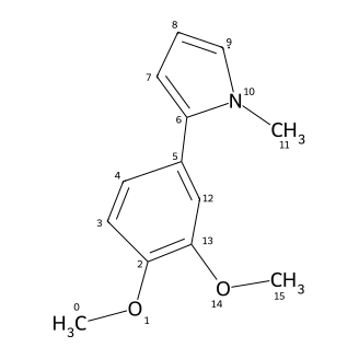 COc1ccc(-c2cc[c]n2C)cc1OC